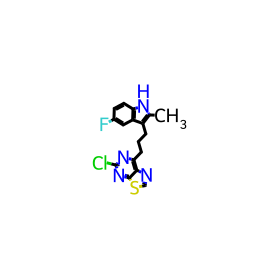 Cc1[nH]c2ccc(F)cc2c1CCCc1nc(Cl)nc2scnc12